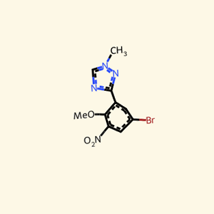 COc1c(-c2ncn(C)n2)cc(Br)cc1[N+](=O)[O-]